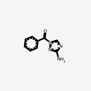 Nc1ncn(C(=O)c2ccccc2)n1